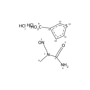 CN(N=O)C(N)=O.Cl.Cl.O=C(O)c1ccsc1